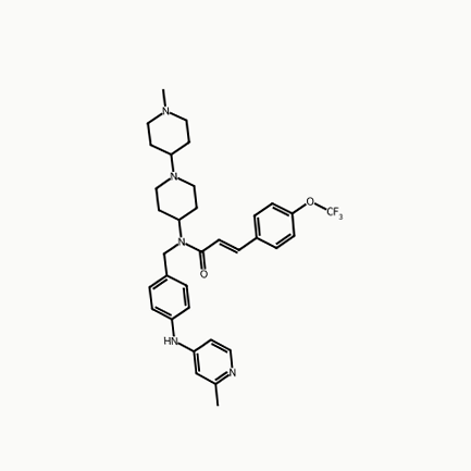 Cc1cc(Nc2ccc(CN(C(=O)/C=C/c3ccc(OC(F)(F)F)cc3)C3CCN(C4CCN(C)CC4)CC3)cc2)ccn1